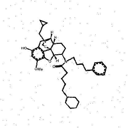 COc1cc(O)c2c3c1O[C@H]1[C@H](N(CCCCc4ccccc4)C(=O)CCCCC4CCCCC4)CC[C@H]4[C@@H](C2)N(CC2CC2)CC[C@@]341